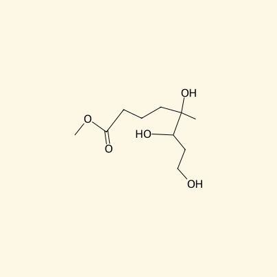 COC(=O)CCCC(C)(O)C(O)CCO